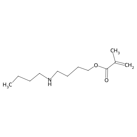 C=C(C)C(=O)OCCCCNCCCC